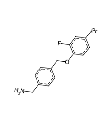 CC(C)c1ccc(OCc2ccc(CN)cc2)c(F)c1